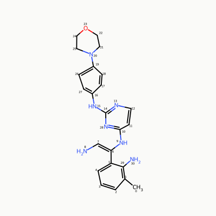 Cc1cccc(/C(=C\N)Nc2ccnc(Nc3ccc(N4CCOCC4)cc3)n2)c1N